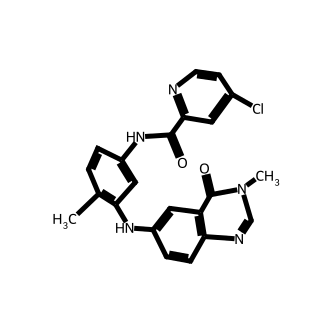 Cc1ccc(NC(=O)c2cc(Cl)ccn2)cc1Nc1ccc2ncn(C)c(=O)c2c1